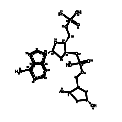 CC(=O)N1C[C@@H](O)C[C@@H]1COP(=O)(O)O[C@H]1C[C@H](n2cnc3c(N)ncnc32)O[C@@H]1COP(=O)(O)C(C)C